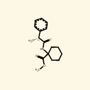 COC(=O)C1(NC(=O)[C@H](C)c2ccccc2)CCCCC1